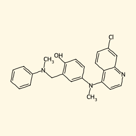 CN(Cc1cc(N(C)c2ccnc3cc(Cl)ccc23)ccc1O)c1ccccc1